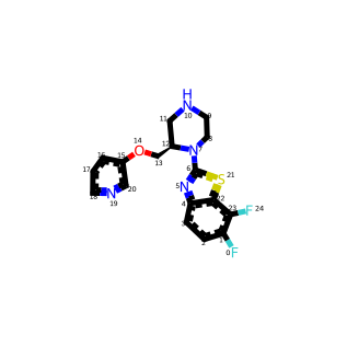 Fc1ccc2nc(N3CCNC[C@@H]3COc3cccnc3)sc2c1F